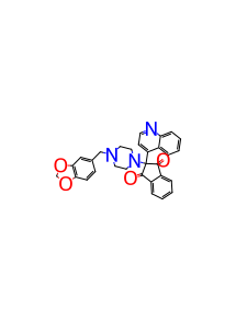 O=C1c2ccccc2C(=O)C1(c1ccnc2ccccc12)N1CCN(Cc2ccc3c(c2)OCO3)CC1